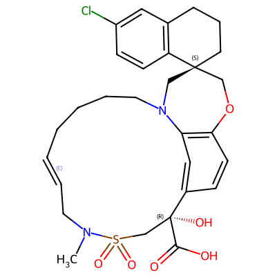 CN1C/C=C/CCCCN2C[C@@]3(CCCc4cc(Cl)ccc43)COc3ccc(cc32)[C@@](O)(C(=O)O)CS1(=O)=O